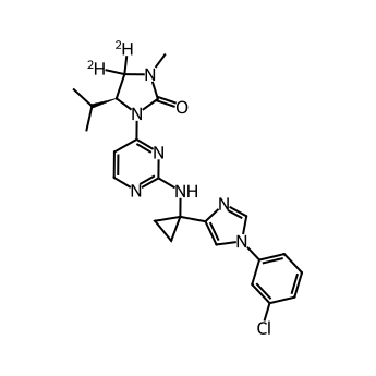 [2H]C1([2H])[C@H](C(C)C)N(c2ccnc(NC3(c4cn(-c5cccc(Cl)c5)cn4)CC3)n2)C(=O)N1C